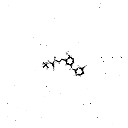 Cc1ccnc(Oc2ccc(Br)c(CCNC(=O)OC(C)(C)C)c2)n1